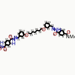 CNC(=O)c1ccc(C(=O)N/N=C/c2cccc(OCCCCCCCOc3cccc(/C=N/NC(=O)c4ccc(C(=O)NO)cc4)c3)c2)cc1